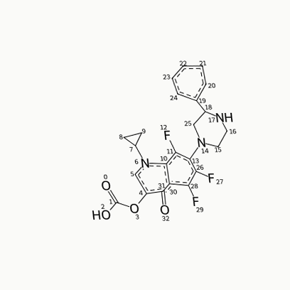 O=C(O)Oc1cn(C2CC2)c2c(F)c(N3CCNC(c4ccccc4)C3)c(F)c(F)c2c1=O